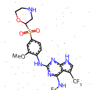 CCNc1nc(Nc2ccc(S(=O)(=O)C3CNCCO3)cc2OC)nc2[nH]cc(C(F)(F)F)c12